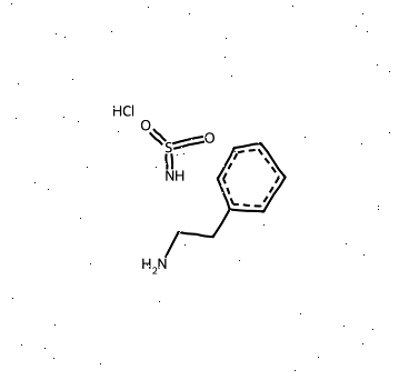 Cl.N=S(=O)=O.NCCc1ccccc1